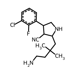 CC(C)(CCN)CC1NCC(c2cccc(Cl)c2F)C1C#N